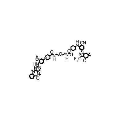 CCOc1cc(N2CCC(C(=O)NCCOCCNC(=O)OC3CCC(Nc4cc(-n5nc(C(F)(F)F)c6c5CC(C)(C)CC6=O)ccc4C#N)CC3)CC2)ccc1Nc1ncc2c(n1)N(C)c1ccccc1C(=O)N2C